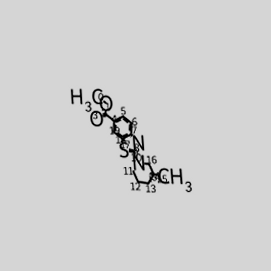 COC(=O)c1ccc2nc(N3CCC[C@H](C)C3)sc2c1